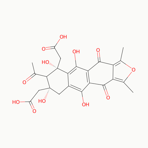 CC(=O)C1[C@](O)(CC(=O)O)Cc2c(O)c3c(c(O)c2[C@]1(O)CC(=O)O)C(=O)c1c(C)oc(C)c1C3=O